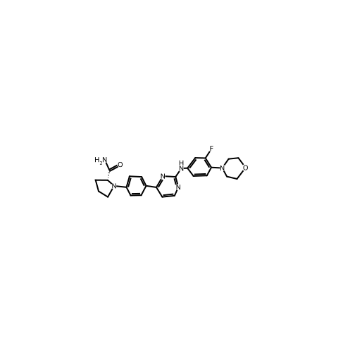 NC(=O)[C@H]1CCCN1c1ccc(-c2ccnc(Nc3ccc(N4CCOCC4)c(F)c3)n2)cc1